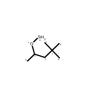 CC(CC(C)(C)C)O[SiH3]